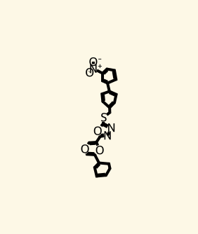 O=[N+]([O-])c1cccc(-c2ccc(CSc3nnc(C4=COC=C(C5=CC=CCC5)O4)o3)cc2)c1